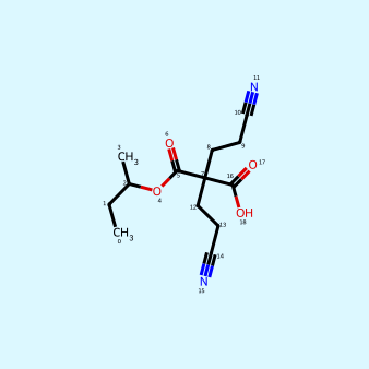 CCC(C)OC(=O)C(CCC#N)(CCC#N)C(=O)O